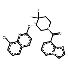 O=C(c1cccn2ccnc12)N1CCC(F)(F)[C@@H](Oc2ccc3cccc(Cl)c3n2)C1